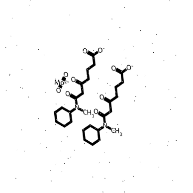 CN(C(=O)CC(=O)CCCC(=O)[O-])C1CCCCC1.CN(C(=O)CC(=O)CCCC(=O)[O-])C1CCCCC1.[O]=[Mo+2]=[O]